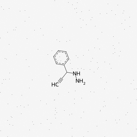 C#CC(NN)c1ccccc1